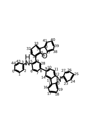 c1ccc(Nc2ccc(-c3ccc4c(c3)c3ccccc3n4-c3ccccc3)cc2-c2cccc3c2oc2ccccc23)cc1